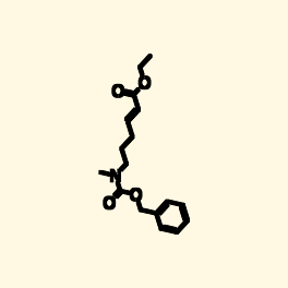 CCOC(=O)/C=C/CCCN(C)C(=O)OCc1ccccc1